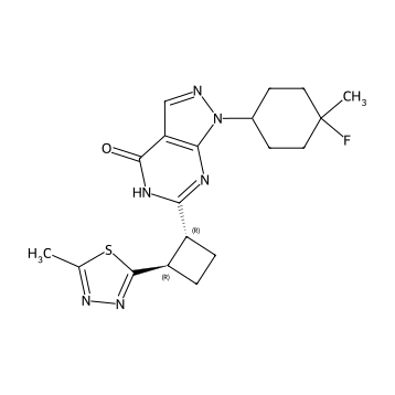 Cc1nnc([C@@H]2CC[C@H]2c2nc3c(cnn3C3CCC(C)(F)CC3)c(=O)[nH]2)s1